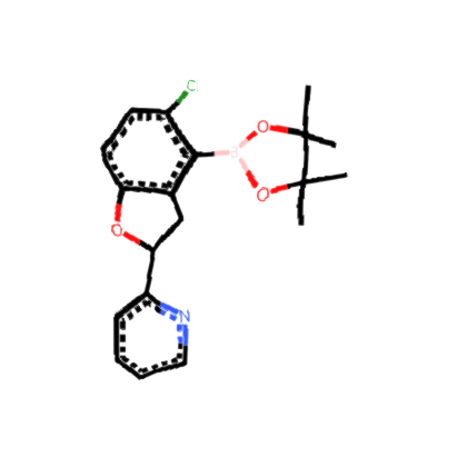 CC1(C)OB(c2c(Cl)ccc3c2CC(c2ccccn2)O3)OC1(C)C